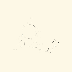 CC[C@H]1OC(=O)[C@H](C)[C@@H](O[C@H]2C[C@@](C)(OC)[C@@H](O)[C@H](C)O2)[C@H](C)[C@@H](O[C@@H]2O[C@H](C)C[C@H](N(C)CCc3cn(-c4cccnc4)nn3)[C@H]2O)[C@@]2(C)C[C@@H](CO2)C(=O)[C@H](C)[C@@H](O)[C@]1(C)O